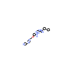 c1ccc(-c2cccc(-c3ncc(-c4ccnc(Nc5cccc(OCCCN6CCN(Cc7ccncc7)CC6)c5)n4)[nH]3)c2)cc1